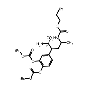 CC(C)CCOC(=O)OC(C)CC(c1ccc(OC(=O)OC(C)(C)C)c(OC(=O)OC(C)(C)C)c1)[C@H](N)C(=O)O